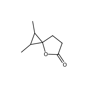 CC1C(C)C12CCC(=O)O2